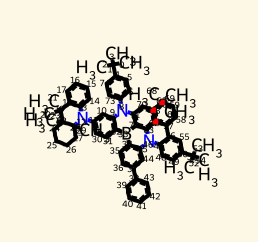 CC(C)(C)c1ccc(N2c3cc(N4c5ccccc5C(C)(C)C5(C)CCCCC45C)ccc3B3c4ccc(-c5ccccc5)cc4N(c4ccc(C(C)(C)C)cc4-c4ccccc4)c4cc(C(C)(C)C)cc2c43)cc1